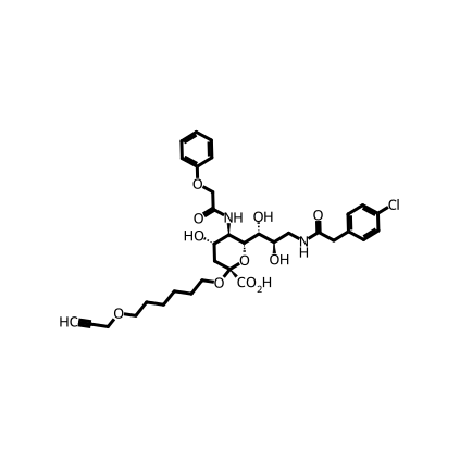 C#CCOCCCCCCO[C@]1(C(=O)O)C[C@H](O)[C@@H](NC(=O)COc2ccccc2)[C@H]([C@H](O)[C@H](O)CNC(=O)Cc2ccc(Cl)cc2)O1